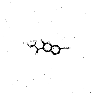 CCCCCC/C(=N\O)C(=O)c1cc2ccc(OC)cc2oc1=O